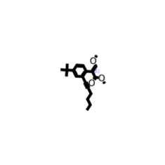 CCCCC#Cc1cc(C(C)(C)C)ccc1/C(=C\OC)C(=O)OC